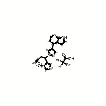 Cn1cncc1C(CC#N)n1cc(-c2ccnc3[nH]ccc23)cn1.O=C(O)C(F)(F)F